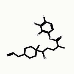 C=CCC1CCC(C)(C(CC)CCC(C)C(=O)Oc2ccc(F)c(F)c2F)CC1